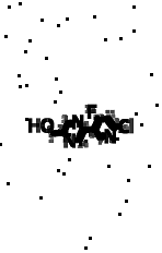 OCc1cnc(-c2cnc(Cl)cc2F)cn1